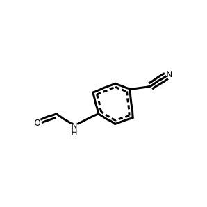 N#Cc1ccc(NC=O)cc1